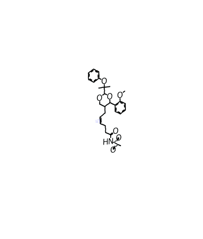 COc1ccccc1C1OC(C(C)(C)Oc2ccccc2)OCC1C/C=C\CCC(=O)NS(C)(=O)=O